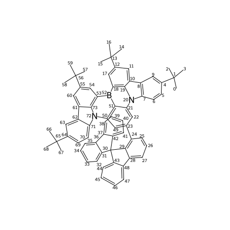 CC(C)(C)c1ccc2c(c1)c1cc(C(C)(C)C)cc3c1n2-c1cc(-c2cccc4c2C2(c5ccccc5-c5ccccc52)c2ccccc2-4)cc2c1B3c1cc(C(C)(C)C)cc3c4cc(C(C)(C)C)ccc4n-2c13